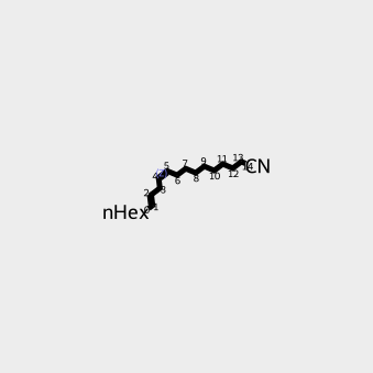 CCCCCCC=CC/C=C\CCCCCCCCC#N